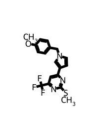 COc1ccc(Cn2ccc(-c3cc(C(F)(F)F)nc(SC)n3)c2)cc1